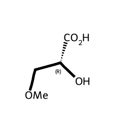 COC[C@@H](O)C(=O)O